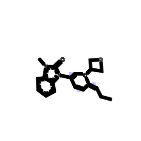 C\C=C(/C=C\C(=C/CC)OC1COC1)n1c(=O)n(C)c2ccccc21